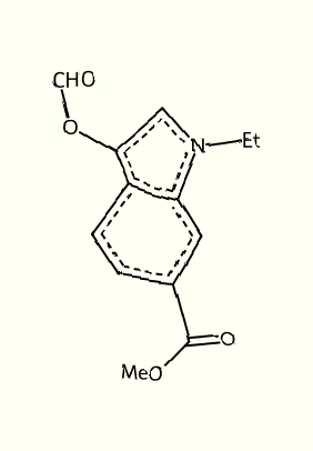 CCn1cc(OC=O)c2ccc(C(=O)OC)cc21